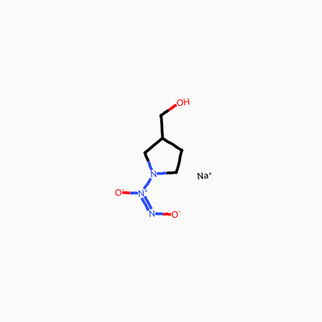 [Na+].[O-]/N=[N+](/[O-])N1CCC(CO)C1